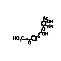 CCCc1c(OCC(O)CSc2ccc(C(=O)CCC(=O)O)cc2)ccc(C(C)=O)c1O